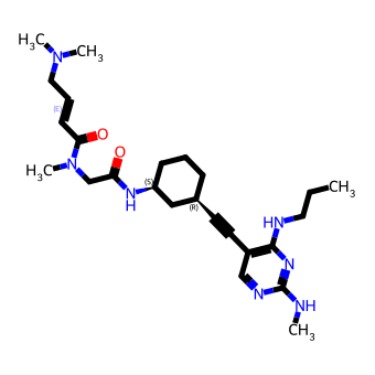 CCCNc1nc(NC)ncc1C#C[C@@H]1CCC[C@H](NC(=O)CN(C)C(=O)/C=C/CN(C)C)C1